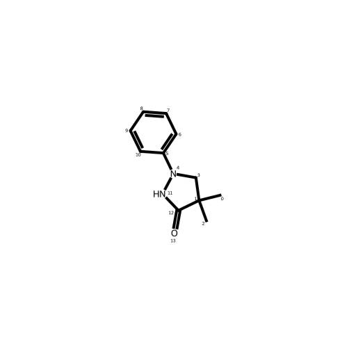 CC1(C)CN(c2ccccc2)NC1=O